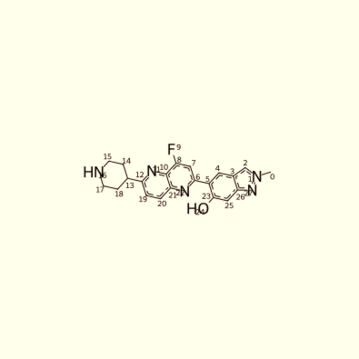 Cn1cc2cc(-c3cc(F)c4nc(C5CCNCC5)ccc4n3)c(O)cc2n1